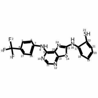 FC(F)(F)c1ccc(Nc2ncnc3sc(Nc4ccccc4S)nc23)cc1